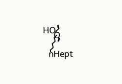 C=C.C=CC(O)OCCCCCCCCCCCC